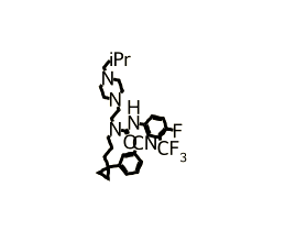 CC(C)CN1CCN(CCN(CCCC2(c3cccc(C#N)c3)CC2)C(=O)Nc2ccc(F)c(C(F)(F)F)c2)CC1